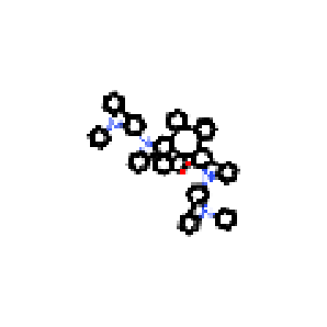 c1ccc(-n2c3ccccc3c3ccc(-n4c5ccccc5c5cc6c(cc54)-c4ccccc4-c4ccccc4-c4cc5c7ccccc7n(-c7ccc8c9ccccc9n(-c9ccccc9)c8c7)c5cc4C64c5ccccc5-c5ccccc54)cc32)cc1